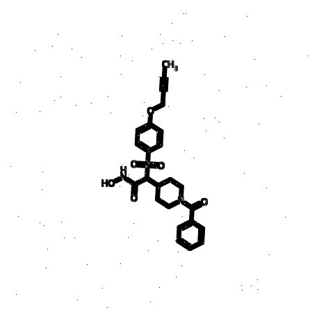 CC#CCOc1ccc(S(=O)(=O)C(C(=O)NO)C2CCN(C(=O)c3ccccc3)CC2)cc1